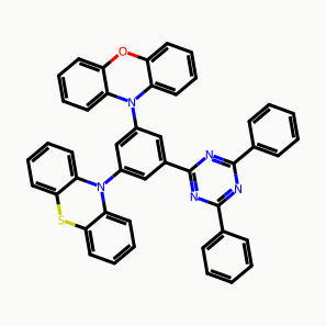 c1ccc(-c2nc(-c3ccccc3)nc(-c3cc(N4c5ccccc5Oc5ccccc54)cc(N4c5ccccc5Sc5ccccc54)c3)n2)cc1